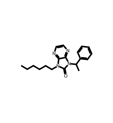 CCCCCCn1c(=O)n(C(C)c2ccccc2)c2nccnc21